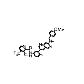 COc1ccc(CN(C)c2cc3ncc(-c4cc(NC(=O)c5nccc(C(F)(F)F)c5Cl)ccc4C)cc3cn2)cc1